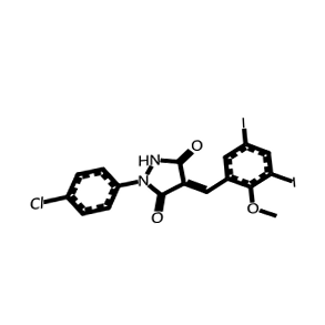 COc1c(I)cc(I)cc1/C=C1\C(=O)NN(c2ccc(Cl)cc2)C1=O